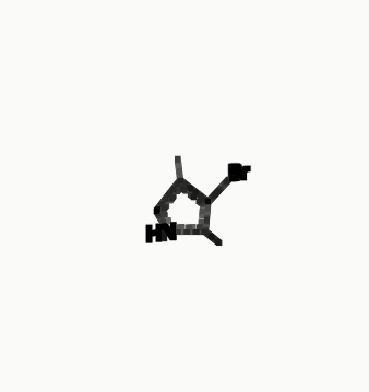 Cc1c[nH]c(C)c1Br